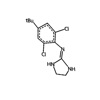 CC(C)(C)c1cc(Cl)c(N=C2NCCN2)c(Cl)c1